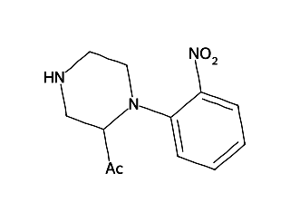 CC(=O)C1CNCCN1c1ccccc1[N+](=O)[O-]